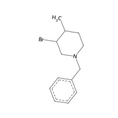 CC1CCN(Cc2ccccc2)CC1Br